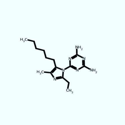 CCCCCCc1c(C)nc(CC)n1-c1nc(N)nc(N)n1